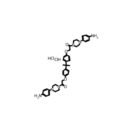 CC(C)(c1ccc(OCC(=O)N2CCN(c3ccc(N)cc3)CC2)cc1)c1ccc(OCC(=O)N2CCN(c3ccc(N)cc3)CC2)cc1.Cl.Cl